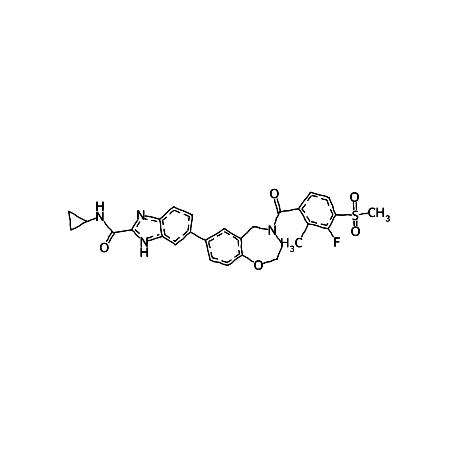 Cc1c(C(=O)N2CCOc3ccc(-c4ccc5nc(C(=O)NC6CC6)[nH]c5c4)cc3C2)ccc(S(C)(=O)=O)c1F